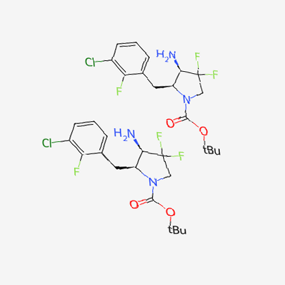 CC(C)(C)OC(=O)N1CC(F)(F)[C@H](N)[C@@H]1Cc1cccc(Cl)c1F.CC(C)(C)OC(=O)N1CC(F)(F)[C@H](N)[C@@H]1Cc1cccc(Cl)c1F